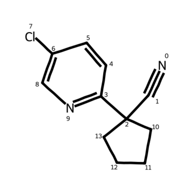 N#CC1(c2ccc(Cl)cn2)CCCC1